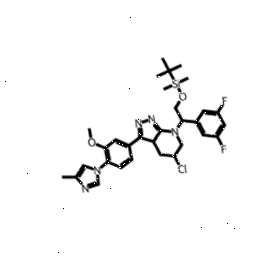 COc1cc(C2=NN=C3C2CC(Cl)CN3C(CO[Si](C)(C)C(C)(C)C)c2cc(F)cc(F)c2)ccc1-n1cnc(C)c1